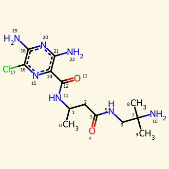 CC(CC(=O)NCC(C)(C)N)NC(=O)c1nc(Cl)c(N)nc1N